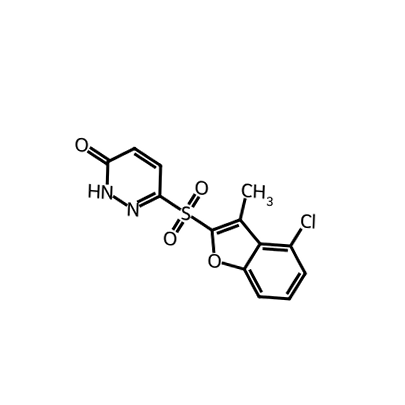 Cc1c(S(=O)(=O)c2ccc(=O)[nH]n2)oc2cccc(Cl)c12